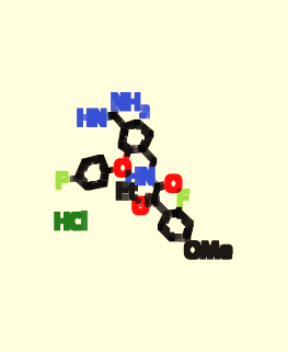 CCO[C@H](C(=O)NCc1ccc(C(=N)N)cc1Oc1ccc(F)cc1)c1ccc(OC)cc1F.Cl